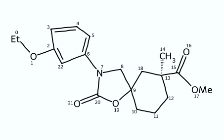 CCOc1cccc(N2CC3(CCC[C@](C)(C(=O)OC)C3)OC2=O)c1